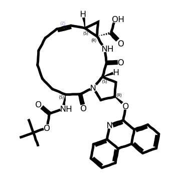 CC(C)(C)OC(=O)N[C@H]1CCCCC/C=C\[C@@H]2C[C@@]2(C(=O)O)NC(=O)[C@@H]2C[C@@H](Oc3nc4ccccc4c4ccccc34)CN2C1=O